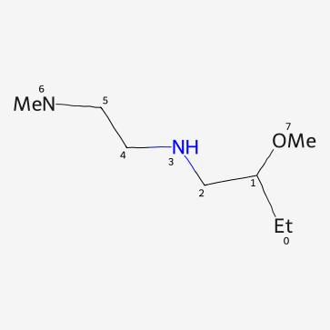 CCC(CNCCNC)OC